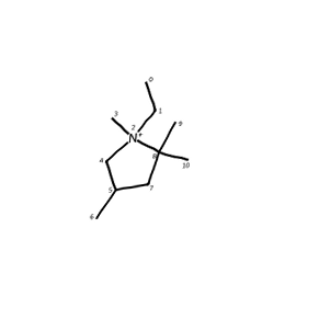 CC[N+]1(C)CC(C)CC1(C)C